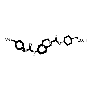 CSc1ccc(NC(=O)Nc2ccc3c(c2)CCN(C(=O)O[C@H]2CC[C@H](CC(=O)O)CC2)C3)cc1